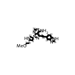 COCC[C@H]1CC(n2nc(C#Cc3ccc4[nH]cnc4c3)c3c(N)ncnc32)CN1